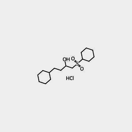 Cl.O=S(=O)(CC(O)CCC1CCCCC1)C1CCCCC1